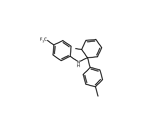 Cc1ccc(C2(Nc3ccc(C(F)(F)F)cc3)C=CC=CC2C)cc1